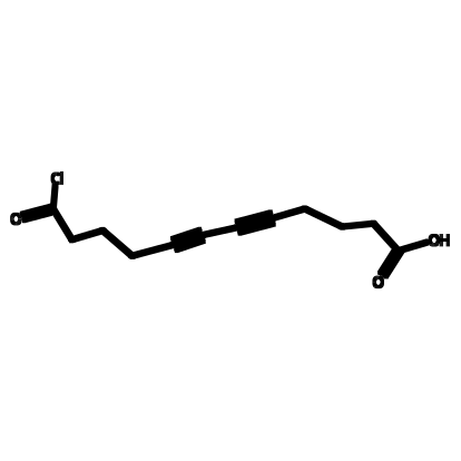 O=C(O)CCCC#CC#CCCCC(=O)Cl